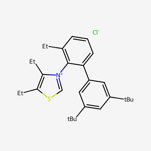 CCc1cccc(-c2cc(C(C)(C)C)cc(C(C)(C)C)c2)c1-[n+]1csc(CC)c1CC.[Cl-]